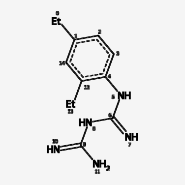 CCc1ccc(NC(=N)NC(=N)N)c(CC)c1